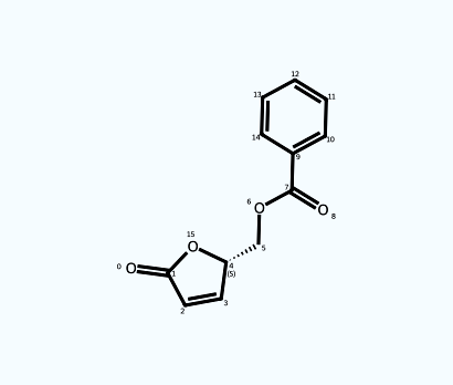 O=C1C=C[C@@H](COC(=O)c2ccccc2)O1